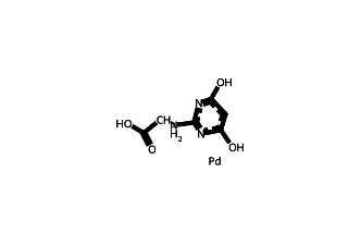 CC(=O)O.Nc1nc(O)cc(O)n1.[Pd]